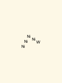 [Ni].[Ni].[Ni].[Ni].[W]